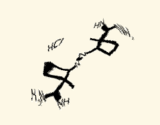 CC1(C(=N)N)CCC1N=NC1CCC1(C)C(=N)N.Cl